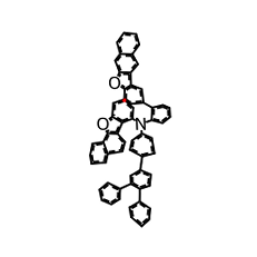 c1ccc(-c2ccc(-c3ccc(N(c4ccccc4-c4ccc5oc6cc7ccccc7cc6c5c4)c4cccc5oc6c7ccccc7ccc6c45)cc3)cc2-c2ccccc2)cc1